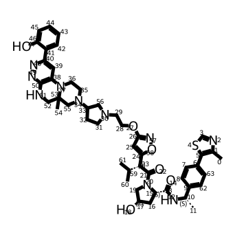 Cc1ncsc1-c1ccc([C@H](C)NC(=O)[C@@H]2C[C@@H](O)CN2C(=O)[C@@H](c2cc(OCCN3CCC(N4CCN5c6cc(-c7ccccc7O)nnc6NCC5(C)C4)C3)no2)C(C)C)cc1